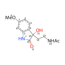 COc1ccc2c(c1)NC(=O)C2(O)CCNC(C)=O